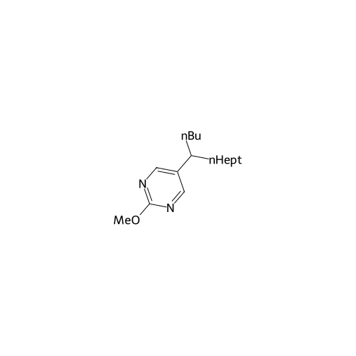 CCCCCCCC(CCCC)c1cnc(OC)nc1